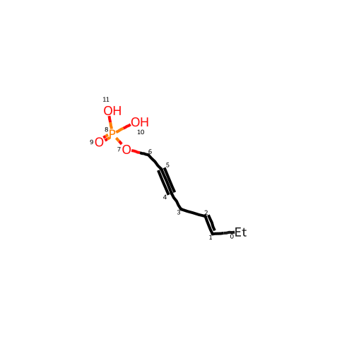 CCC=CCC#CCOP(=O)(O)O